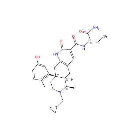 Cc1ccc(O)cc1[C@]12CCN(CC3CC3)[C@H](C)[C@@H]1Cc1cc(C(=O)N[C@@H](CC(C)C)C(N)=O)c(=O)[nH]c1C2